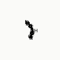 CN1CCN(c2ccc(/C=N/Nc3ccc(-c4cnco4)cc3)cc2)CC1